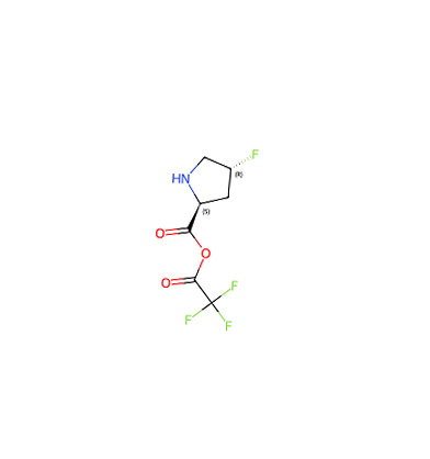 O=C(OC(=O)C(F)(F)F)[C@@H]1C[C@@H](F)CN1